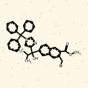 COC(=O)c1cc2ccc(C(O)(c3cn(C(c4ccccc4)(c4ccccc4)c4ccccc4)cn3)C(C)C)cc2cc1CBr